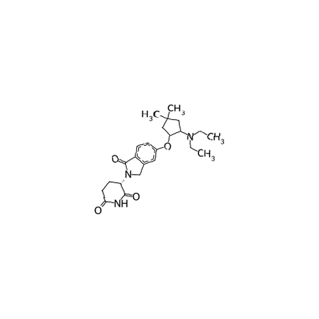 CCN(CC)C1CC(C)(C)CC1Oc1ccc2c(c1)CN([C@H]1CCC(=O)NC1=O)C2=O